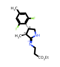 CCOC(=O)CC/N=C1\NC[C@@H](c2c(F)cc(C)cc2F)[C@@H]1C